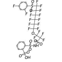 O=S(=O)(O)c1ccccc1S(=O)(=O)NS(=O)(=O)C(F)(F)C(F)(F)OC(F)(F)C(F)(F)C(F)(F)C(F)(F)C(F)(F)C(F)(F)S(=O)(=O)c1ccc(F)cc1F